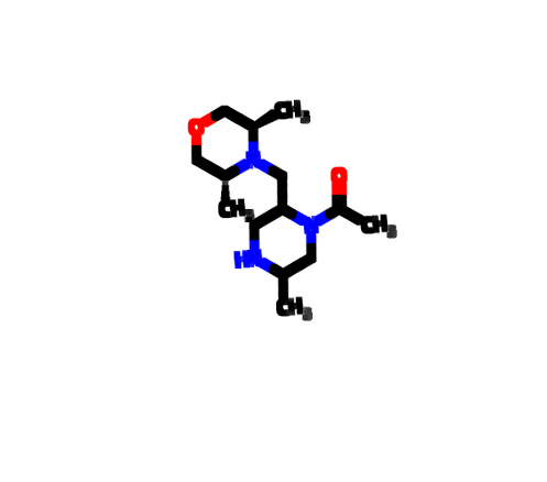 CC(=O)N1CC(C)NCC1CN1[C@H](C)COC[C@H]1C